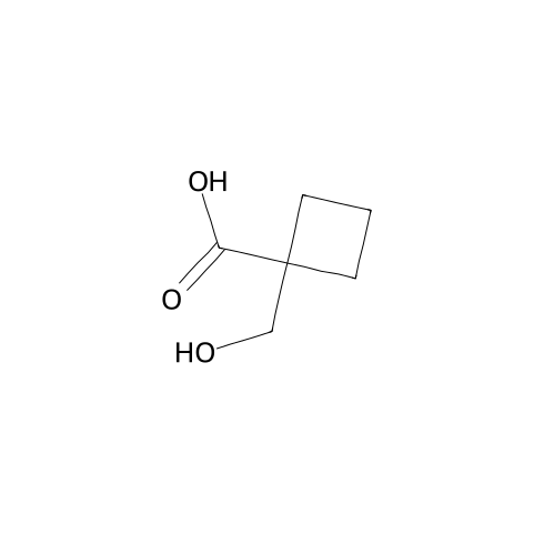 O=C(O)C1(CO)CCC1